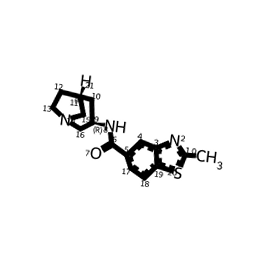 Cc1nc2cc(C(=O)N[C@@H]3C[C@H]4CCN(C4)C3)ccc2s1